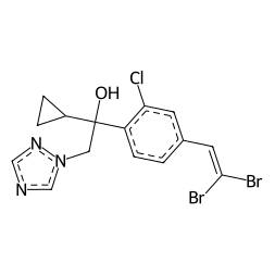 OC(Cn1cncn1)(c1ccc(C=C(Br)Br)cc1Cl)C1CC1